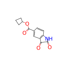 O=C1Nc2ccc(C(=O)OC3CCC3)cc2C1=O